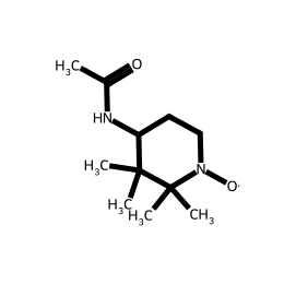 CC(=O)NC1CCN([O])C(C)(C)C1(C)C